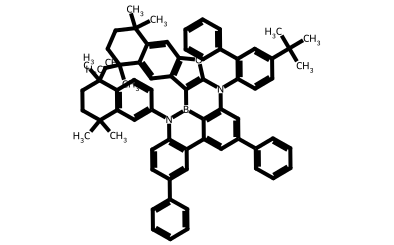 CC(C)(C)c1ccc(N2c3cc(-c4ccccc4)cc4c3B(c3c2oc2cc5c(cc32)C(C)(C)CCC5(C)C)N(c2ccc3c(c2)C(C)(C)CCC3(C)C)c2ccc(-c3ccccc3)cc2-4)c(-c2ccccc2)c1